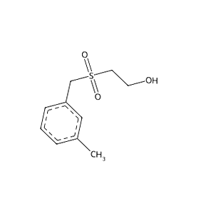 Cc1cccc(CS(=O)(=O)CCO)c1